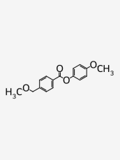 COCc1ccc(C(=O)Oc2ccc(OC)cc2)cc1